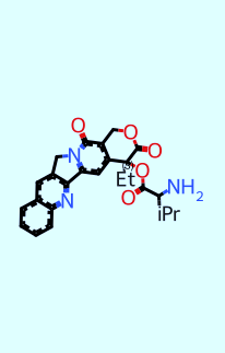 CC[C@@]1(OC(=O)C(N)C(C)C)C(=O)OCc2c1cc1n(c2=O)Cc2cc3ccccc3nc2-1